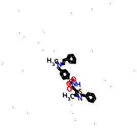 Cc1nc(-c2ccccc2)sc1C(=O)NS(=O)(=O)c1ccc(CN(C)CCc2ccccc2)cc1